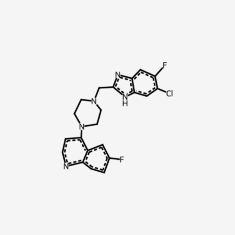 Fc1ccc2nccc(N3CCN(Cc4nc5cc(F)c(Cl)cc5[nH]4)CC3)c2c1